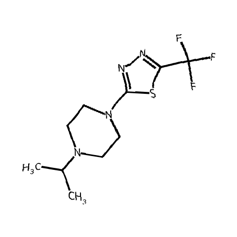 CC(C)N1CCN(c2nnc(C(F)(F)F)s2)CC1